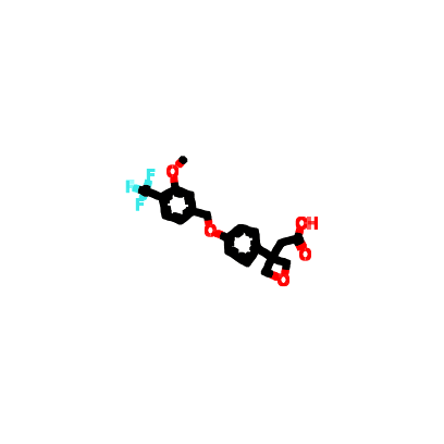 COc1cc(COc2ccc(C3(CC(=O)O)COC3)cc2)ccc1C(F)(F)F